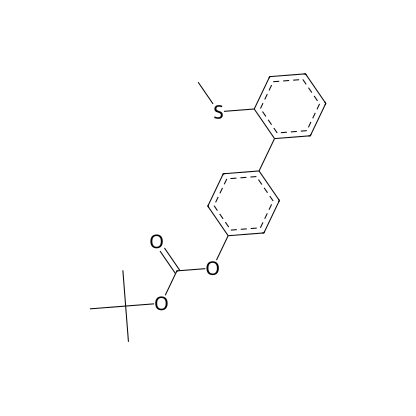 CSc1ccccc1-c1ccc(OC(=O)OC(C)(C)C)cc1